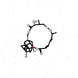 CC1=CC2O[C@@H]3C[C@H]4OC(=O)/C=C\C=C\C(C)OCCC(C)[C@@H](O)C(=O)OC[C@@]2(CC1)[C@]4(C)C12CC31C2